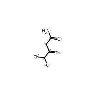 NC(=O)CC(=O)C(Cl)Cl